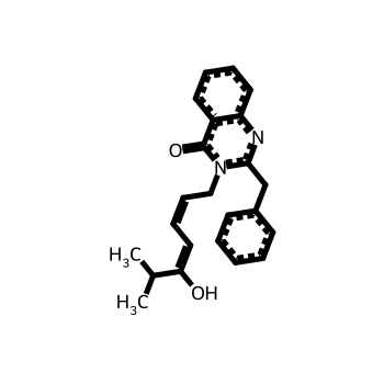 CC(C)/C(O)=C\C=C/Cn1c(Cc2ccccc2)nc2ccccc2c1=O